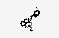 CCSc1nc(NCCc2cccc(F)c2)c2ccccc2n1